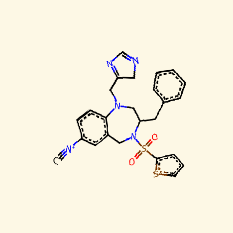 [C-]#[N+]c1ccc2c(c1)CN(S(=O)(=O)c1cccs1)C(Cc1ccccc1)CN2CC1=NC=NC1